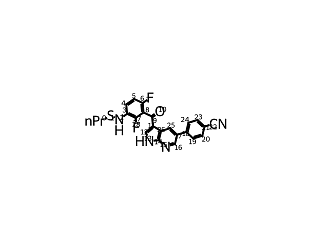 CCCSNc1ccc(F)c(C(=O)c2c[nH]c3ncc(-c4ccc(C#N)cc4)cc23)c1F